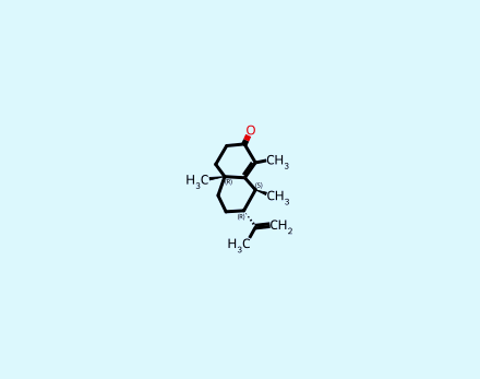 C=C(C)[C@@H]1CC[C@]2(C)CCC(=O)C(C)=C2[C@H]1C